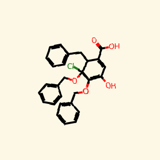 O=C(O)C1=CC(O)=C(OCc2ccccc2)C(Cl)(OCc2ccccc2)C1Cc1ccccc1